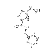 O=C(OCc1ccccc1)C1CC[C@@H](CO)O1